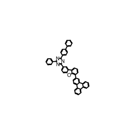 c1ccc(-c2ccc(-c3nc(-c4ccccc4)nc(-c4ccc5oc6c(-c7ccc8c9ccccc9c9ccccc9c8c7)cccc6c5c4)n3)cc2)cc1